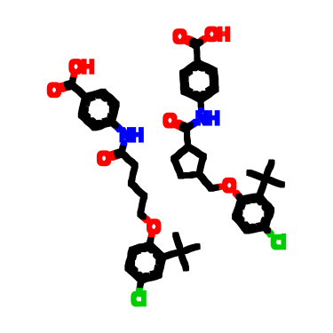 CC(C)(C)c1cc(Cl)ccc1OCC1CCC(C(=O)Nc2ccc(C(=O)O)cc2)C1.CC(C)(C)c1cc(Cl)ccc1OCCCCC(=O)Nc1ccc(C(=O)O)cc1